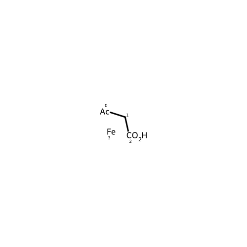 CC(=O)CC(=O)O.[Fe]